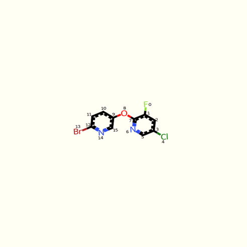 Fc1cc(Cl)cnc1Oc1ccc(Br)nc1